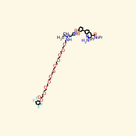 CCCN(CCC)C(=O)C1=Cc2ccc(-c3cccc(S(=O)(=O)N4CC(C/N=C(\NCCOCCOCCOCCOCCOCCOCCOCCOCCOCCOCCC(=O)Oc5c(F)c(F)cc(F)c5F)N(C)C)C4)c3)cc2N=C(N)C1